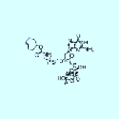 CS(C)(CNC(=O)OC1CC/C=C/CCC1)SCO[C@@H]1C[C@H](n2cnc3c(=O)[nH]c(N)nc32)OC1COP(=O)(O)OP(=O)(O)OP(=O)(O)O